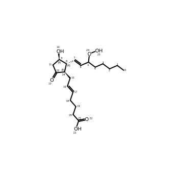 CCCCCC(C=C[C@H]1[C@H](O)CC(=O)[C@@H]1CC=CCCCC(=O)O)OO